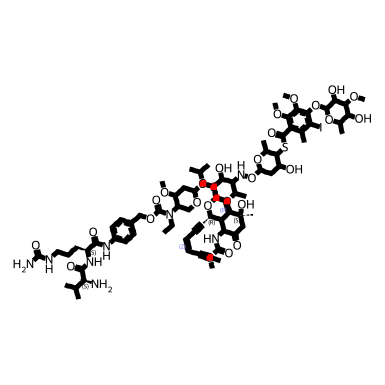 CC#C/C=C\C#C[C@H](OC1OC(C)C(NOC2CC(O)C(SC(=O)c3c(C)c(I)c(OC4OC(C)C(O)C(OC)C4O)c(OC)c3OC)C(C)O2)C(O)C1OC1CC(OC)C(N(CC)C(=O)OCc2ccc(NC(=O)[C@H](CCCNC(N)=O)NC(=O)[C@@H](N)C(C)C)cc2)CO1)C1/C(=C\CSSC(C)C)[C@@](C)(O)CC(=O)C1NC(=O)OC